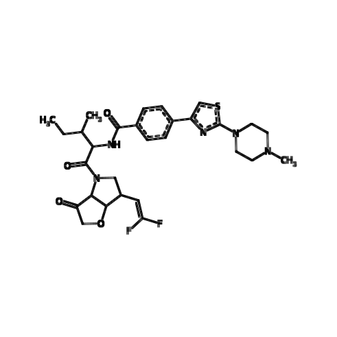 CCC(C)C(NC(=O)c1ccc(-c2csc(N3CCN(C)CC3)n2)cc1)C(=O)N1CC(C=C(F)F)C2OCC(=O)C21